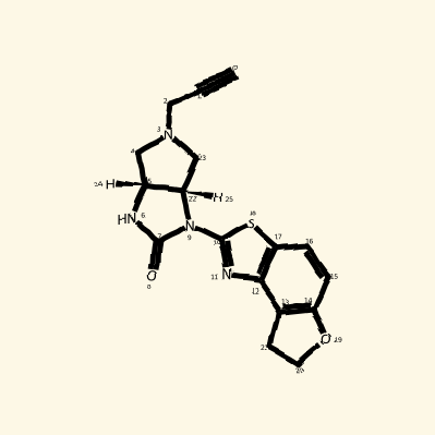 C#CCN1C[C@H]2NC(=O)N(c3nc4c5c(ccc4s3)OCC5)[C@H]2C1